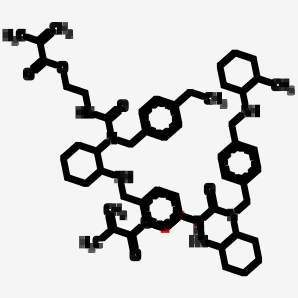 C=C(C)C(=O)OCCNC(=O)N(Cc1ccc(CC)cc1)C1CCCCC1NCc1ccc(CNC2CCCCC2N(Cc2ccc(CNC3CCCCC3C)cc2)C(=O)NCCOC(=O)C(=C)C)cc1